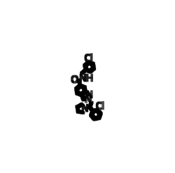 O=C(NCc1cccc(Cl)c1)c1ccc2cn(CC(c3ccccc3Cl)N3CCCC3)nc2c1